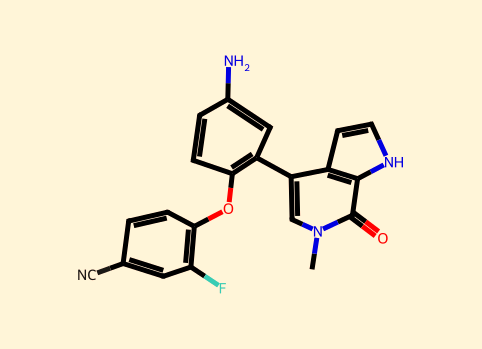 Cn1cc(-c2cc(N)ccc2Oc2ccc(C#N)cc2F)c2cc[nH]c2c1=O